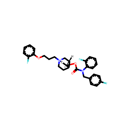 O=C(O[C@H]1C[N+]2(CCCOc3ccccc3F)CCC1CC2)N(Cc1ccc(F)cc1)c1ccccc1F